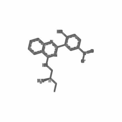 CC[C@@H](N)CNc1nc(-c2cc([N+](=O)[O-])ccc2O)nc2ccccc12